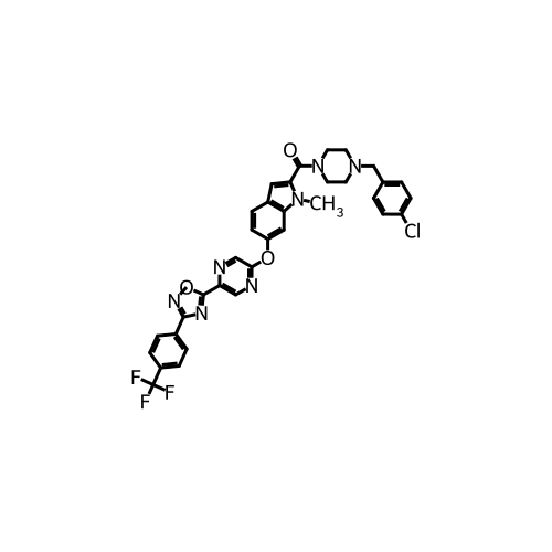 Cn1c(C(=O)N2CCN(Cc3ccc(Cl)cc3)CC2)cc2ccc(Oc3cnc(-c4nc(-c5ccc(C(F)(F)F)cc5)no4)cn3)cc21